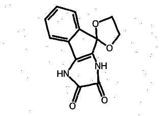 O=c1[nH]c2c([nH]c1=O)C1(OCCO1)c1ccccc1-2